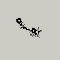 CC1(C)OC(=O)Nc2ccc(OCCCCS(=O)(=O)c3nc4ccccc4s3)cc21